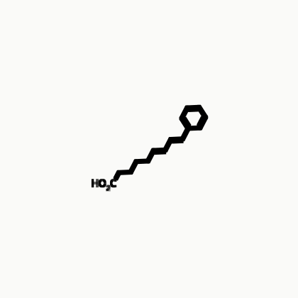 O=C(O)CCCC/C=C/C=C/c1ccccc1